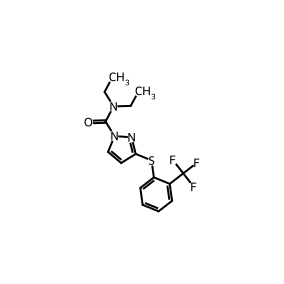 CCN(CC)C(=O)n1ccc(Sc2ccccc2C(F)(F)F)n1